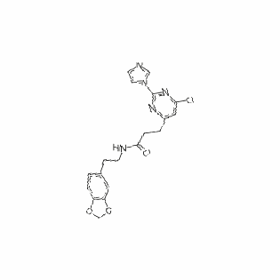 O=C(CCc1cc(Cl)nc(-n2ccnc2)n1)NCCc1ccc2c(c1)OCO2